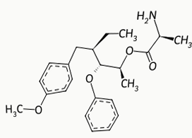 CC[C@H](Cc1ccc(OC)cc1)[C@@H](Oc1ccccc1)[C@H](C)OC(=O)[C@H](C)N